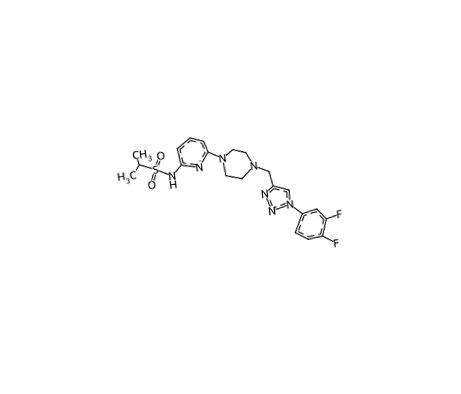 CC(C)S(=O)(=O)Nc1cccc(N2CCN(Cc3cn(-c4ccc(F)c(F)c4)nn3)CC2)n1